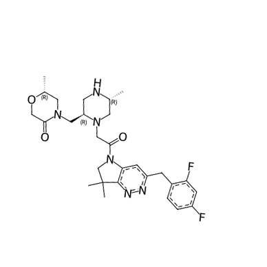 C[C@@H]1CN(CC(=O)N2CC(C)(C)c3nnc(Cc4ccc(F)cc4F)cc32)[C@@H](CN2C[C@@H](C)OCC2=O)CN1